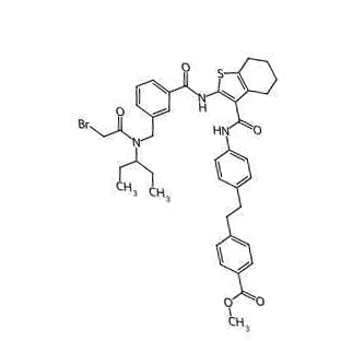 CCC(CC)N(Cc1cccc(C(=O)Nc2sc3c(c2C(=O)Nc2ccc(CCc4ccc(C(=O)OC)cc4)cc2)CCCC3)c1)C(=O)CBr